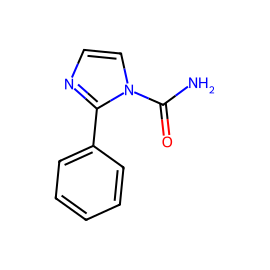 NC(=O)n1ccnc1-c1ccccc1